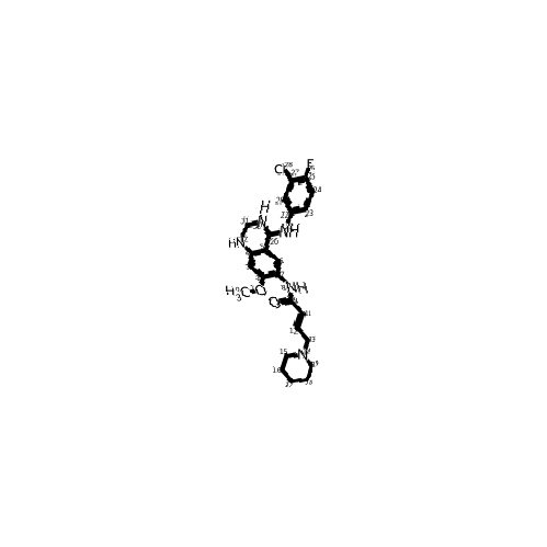 COc1cc2c(cc1NC(=O)/C=C/CN1CCCCC1)C(Nc1ccc(F)c(Cl)c1)NCN2